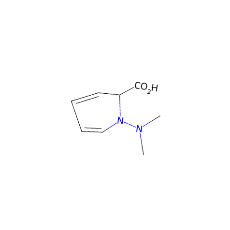 CN(C)N1C=CC=CC1C(=O)O